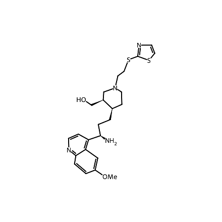 COc1ccc2nccc([C@H](N)CC[C@@H]3CCN(CCSc4nccs4)C[C@@H]3CO)c2c1